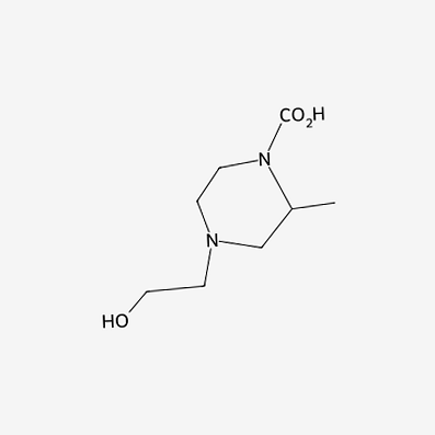 CC1CN(CCO)CCN1C(=O)O